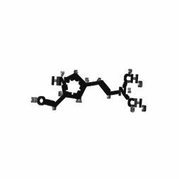 CN(C)C=Cc1c[nH]c(C=O)c1